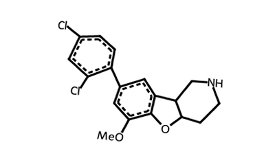 COc1cc(-c2ccc(Cl)cc2Cl)cc2c1OC1CCNCC21